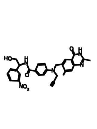 C#CCN(Cc1cc2c(=O)[nH]c(C)nc2cc1C)c1ccc(C(=O)NC(CO)c2cccc([N+](=O)[O-])c2)cc1